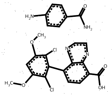 COc1cc(OC)c(Cl)c(-c2ccc(C(=O)O)c3nccnc23)c1Cl.NC(=O)c1ccc(N)cc1